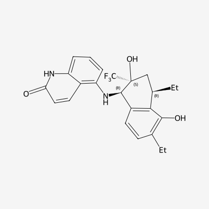 CCc1ccc2c(c1O)[C@H](CC)C[C@@](O)(C(F)(F)F)[C@@H]2Nc1cccc2[nH]c(=O)ccc12